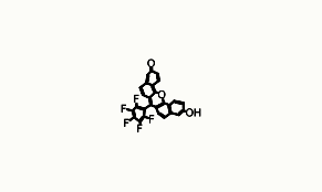 O=c1ccc2c(ccc3c(-c4c(F)c(F)c(F)c(F)c4F)c4ccc5cc(O)ccc5c4oc32)c1